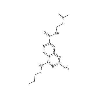 CCCCNc1nc(N)nc2cc(C(=O)NCCN(C)C)ccc12